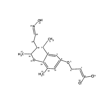 CCc1cc(OCC=C(Cl)Cl)cc(C)c1OC(C)CCC=NO